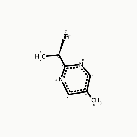 Cc1cnc([C@@H](C)C(C)C)nc1